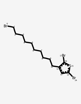 BrCCCCCCCCCCc1cc(Br)sc1Br